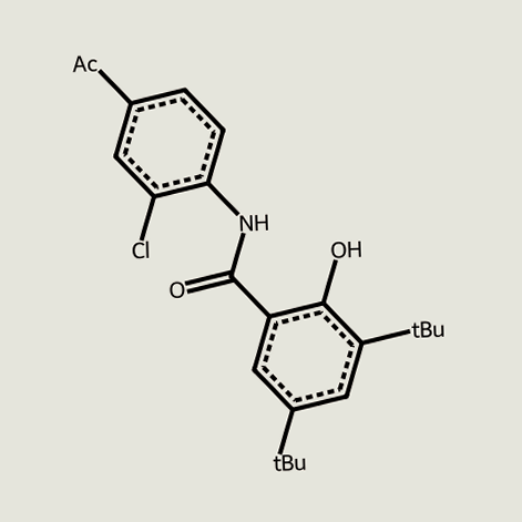 CC(=O)c1ccc(NC(=O)c2cc(C(C)(C)C)cc(C(C)(C)C)c2O)c(Cl)c1